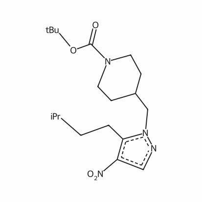 CC(C)CCc1c([N+](=O)[O-])cnn1CC1CCN(C(=O)OC(C)(C)C)CC1